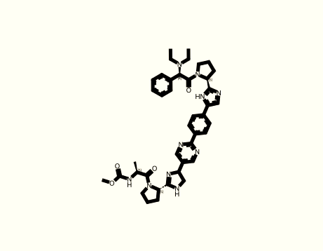 CCN(CC)[C@@H](C(=O)N1CCC[C@H]1c1ncc(-c2ccc(-c3ncc(C4CNC([C@@H]5CCCN5C(=O)[C@H](C)NC(=O)OC)=N4)cn3)cc2)[nH]1)c1ccccc1